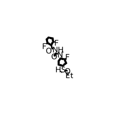 C#[SH](OCC)c1ccc(N(C)C(=O)NC(=O)c2c(F)cccc2F)c(F)c1